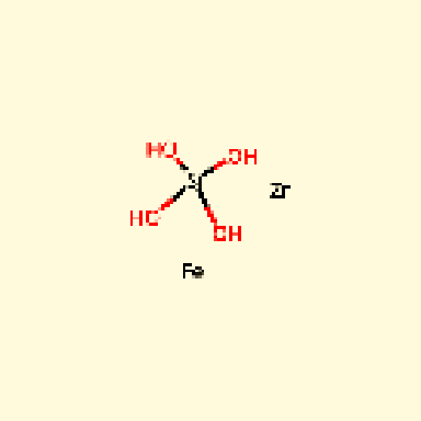 O[Si](O)(O)O.[Fe].[Zr]